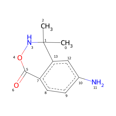 CC1(C)NOC(=O)c2ccc(N)cc21